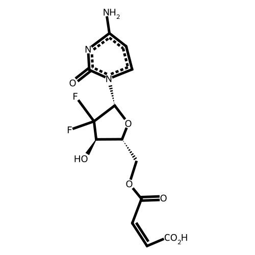 Nc1ccn([C@@H]2O[C@H](COC(=O)/C=C\C(=O)O)[C@@H](O)C2(F)F)c(=O)n1